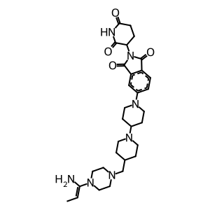 C/C=C(\N)N1CCN(CC2CCN(C3CCN(c4ccc5c(c4)C(=O)N(C4CCC(=O)NC4=O)C5=O)CC3)CC2)CC1